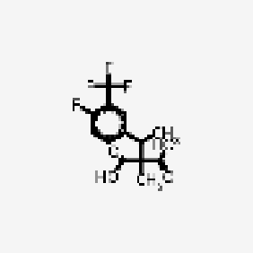 CC(c1ccc(F)c(C(F)(F)F)c1)C(C)(C(=O)O)C(=O)O